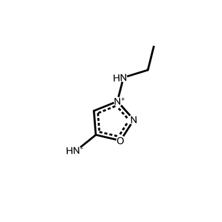 CCN[n+]1cc([NH-])on1